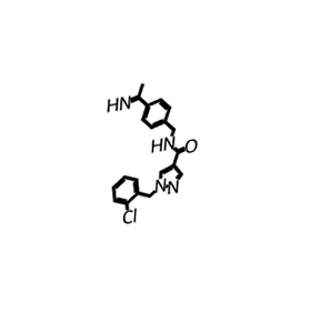 CC(=N)c1ccc(CNC(=O)c2cnn(Cc3ccccc3Cl)c2)cc1